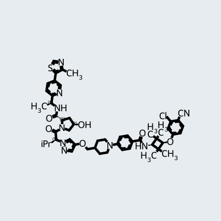 Cc1ncsc1-c1ccc([C@H](C)NC(=O)[C@@H]2C[C@@H](O)CN2C(=O)[C@H](C(C)C)n2cc(OCC3CCN(c4ccc(C(=O)N[C@H]5C(C)(C)[C@H](Oc6ccc(C#N)c(Cl)c6)C5(C)C)cc4)CC3)cn2)nc1